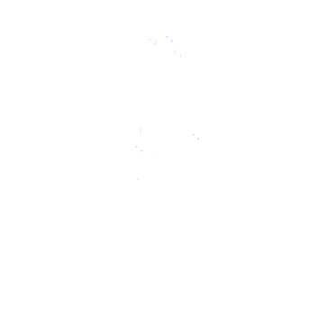 CC(=O)OC(=O)Cc1cccc(C[C@H](O)CN(C)C(=O)c2cncc(C#Cc3cnn(C)n3)c2)c1